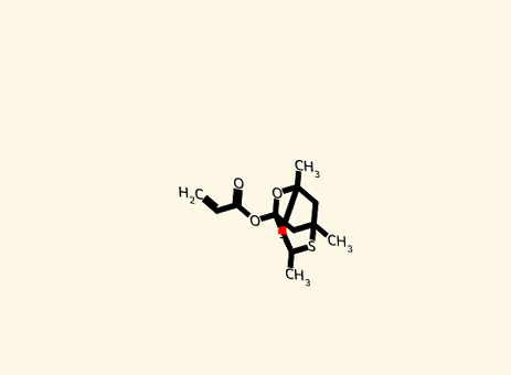 C=CC(=O)OC12CC3(C)CC(C)(CC(C)(S3)S1)O2